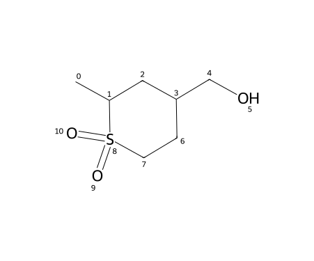 CC1CC(CO)CCS1(=O)=O